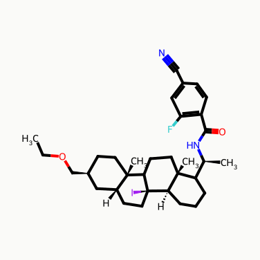 CCOC[C@H]1CC[C@]2(C)C3CC[C@]4(C)C([C@H](C)NC(=O)c5ccc(C#N)cc5F)CCC[C@H]4[C@]3(I)CC[C@@H]2C1